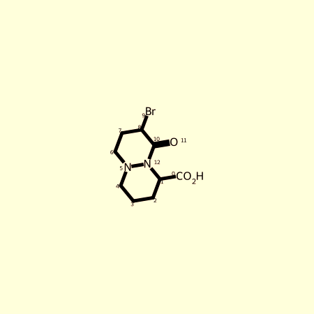 O=C(O)C1CCCN2CCC(Br)C(=O)N12